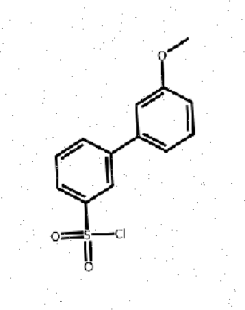 COc1cccc(-c2cccc(S(=O)(=O)Cl)c2)c1